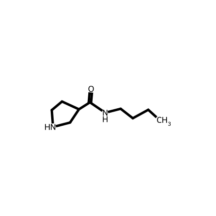 CCCCNC(=O)C1CCNC1